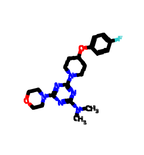 CN(C)c1nc(N2CCOCC2)nc(N2CCC(Oc3ccc(F)cc3)CC2)n1